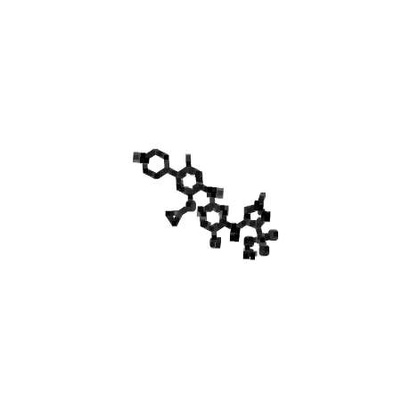 Cc1cc(Nc2ncc(Cl)c(Nc3cn(C)nc3S(=O)(=O)OC(C)C)n2)c(OC2CC2)cc1C1CCNCC1